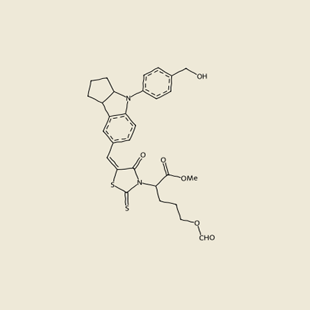 COC(=O)C(CCCOC=O)N1C(=O)/C(=C\c2ccc3c(c2)C2CCCC2N3c2ccc(CO)cc2)SC1=S